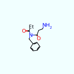 CCC(=O)N(Cc1ccccc1)C(=O)CCN